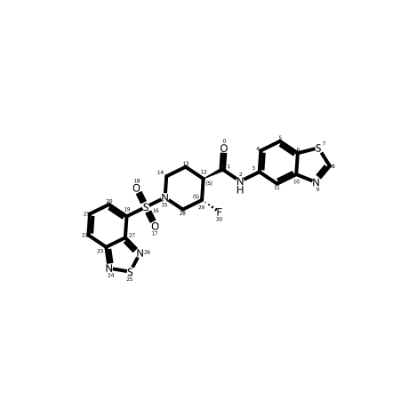 O=C(Nc1ccc2scnc2c1)[C@@H]1CCN(S(=O)(=O)c2cccc3nsnc23)C[C@H]1F